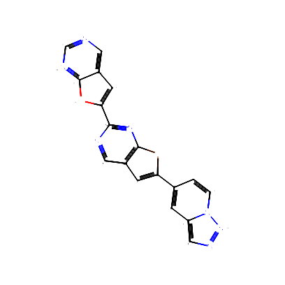 c1ncc2cc(-c3ncc4cc(-c5ccn6nncc6c5)sc4n3)oc2n1